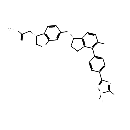 COC(=O)C[C@@H]1COc2cc(O[C@@H]3CCc4c3ccc(C(F)(F)F)c4-c3ccc(-c4nc(C)n(C)n4)cc3)ccc21